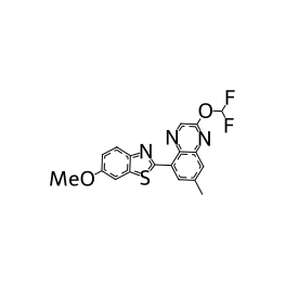 COc1ccc2nc(-c3cc(C)cc4nc(OC(F)F)cnc34)sc2c1